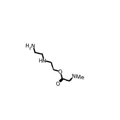 CNCC(=O)OCCNCCN